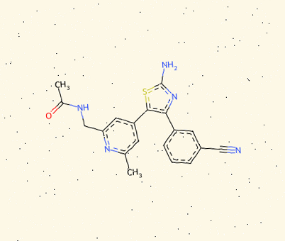 CC(=O)NCc1cc(-c2sc(N)nc2-c2cccc(C#N)c2)cc(C)n1